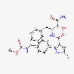 Cc1cc(C(=O)N[C@@H](Cc2ccccc2)C(O)C(N)=O)n(-c2ccc(CNC(=O)OC(C)(C)C)cc2)n1